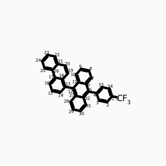 FC(F)(F)c1ccc(-c2c3ccccc3c(-c3cccc4c3ccc3ccccc34)c3ccccc23)cc1